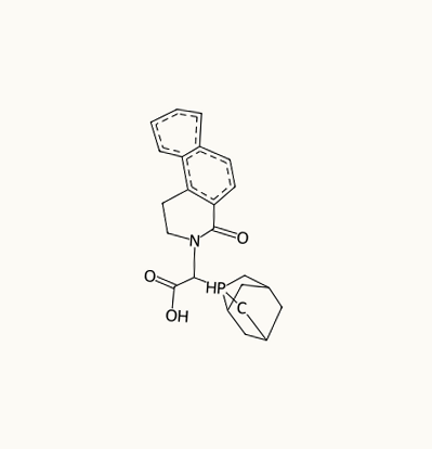 O=C(O)C(N1CCc2c(ccc3ccccc23)C1=O)[PH]12CC3CC(CC1C3)C2